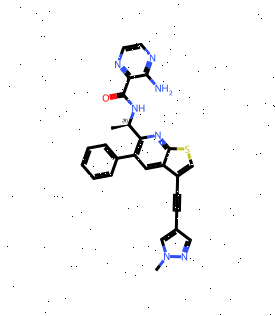 C[C@@H](NC(=O)c1nccnc1N)c1nc2scc(C#Cc3cnn(C)c3)c2cc1-c1ccccc1